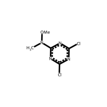 CON(C)c1nc(Cl)nc(Cl)n1